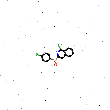 [O-][S+](c1ccc(F)cc1)c1cc2ccccc2c(Br)n1